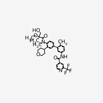 COC(C)(CO)C(=O)N(C)c1ccc(-c2cc(NC(=O)c3ccnc(C(F)(F)F)c3)ccc2C)cc1C1CCOCC1